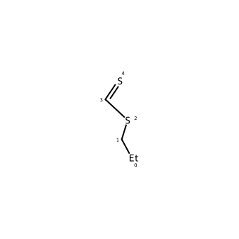 CCCSC=S